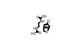 Clc1cc2cc(c1)OC2.O=C(O)NCCNC(=O)O